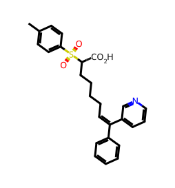 Cc1ccc(S(=O)(=O)C(CCCCC=C(c2ccccc2)c2cccnc2)C(=O)O)cc1